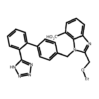 CCOCc1nc2cccc(C(=O)O)c2n1Cc1ccc(-c2ccccc2-c2nnn[nH]2)cc1